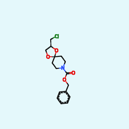 O=C(OCc1ccccc1)N1CCC2(CC1)OCC(CCl)O2